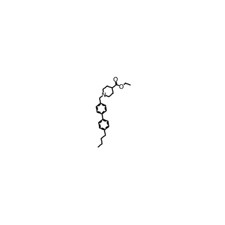 CCCCc1ccc(-c2ccc(CN3CCC(C(=O)OCC)CC3)cc2)cc1